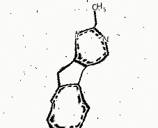 Cc1ncc2c(n1)Cc1ccccc1-2